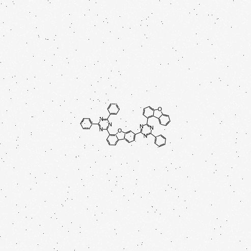 c1ccc(-c2nc(-c3ccccc3)nc(-c3cccc4c3oc3cc(-c5nc(-c6ccccc6)nc(-c6cccc7oc8ccccc8c67)n5)ccc34)n2)cc1